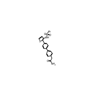 CC(C)S(=O)(=O)Nc1ccsc1-c1ccc(-c2ccc(CC(N)=O)cc2)cc1